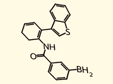 Bc1cccc(C(=O)NC2=C(c3csc4ccccc34)C=CCC2)c1